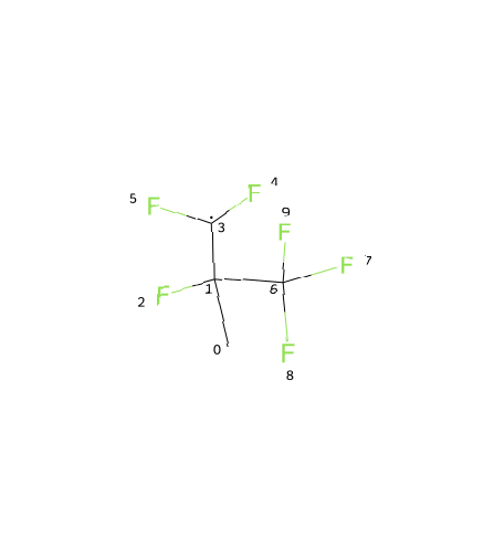 CC(F)([C](F)F)C(F)(F)F